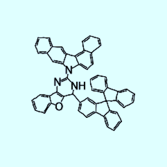 c1ccc2c(c1)-c1ccccc1C21c2ccccc2-c2ccc(C3NC(n4c5cc6ccccc6cc5c5c6ccccc6ccc54)=Nc4c3oc3ccccc43)cc21